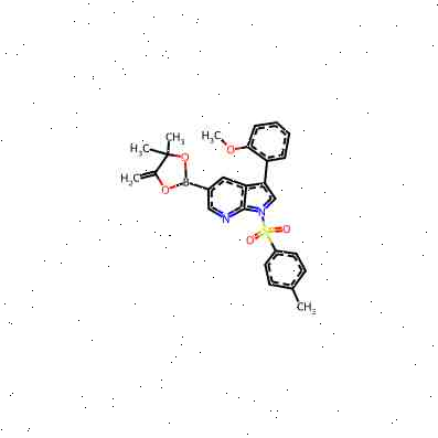 C=C1OB(c2cnc3c(c2)c(-c2ccccc2OC)cn3S(=O)(=O)c2ccc(C)cc2)OC1(C)C